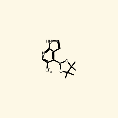 CC1(C)OB(c2c(C(F)(F)F)cnc3[nH]ccc23)OC1(C)C